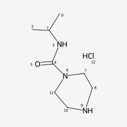 CC(C)NC(=O)N1CCNCC1.Cl